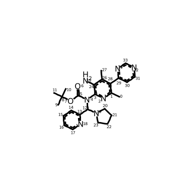 Cc1nc(N(C(=O)OC(C)(C)C)C(c2ccccn2)N2CCCC2)c(N)c(C)c1-c1ccncn1